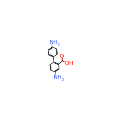 Nc1ccc(-c2ccc(N)cc2C(=O)O)cc1